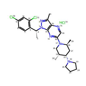 Cc1nn([C@H](C)c2ccc(Cl)cc2Cl)c2nc(N3C[C@@H](C)[C@@H](N4CCCC4)C[C@@H]3C)cnc12.Cl